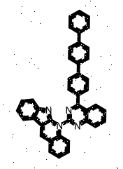 c1ccc(-c2ccc(-c3ccc(-c4nc(-n5c6nc7ccccc7c-6cc6ccccc65)nc5ccccc45)cc3)cc2)cc1